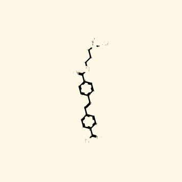 NC(=O)c1ccc(/C=C/c2ccc(C(=O)NCCC[PH](=O)P=O)cc2)cc1